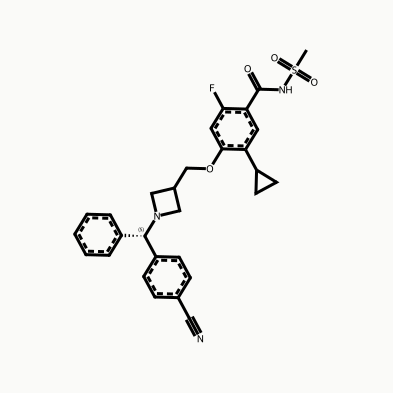 CS(=O)(=O)NC(=O)c1cc(C2CC2)c(OCC2CN([C@@H](c3ccccc3)c3ccc(C#N)cc3)C2)cc1F